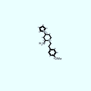 COc1ccc(CCN2CCC(n3cccc3)CC2N)cc1